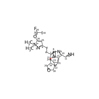 C[N+]1(C)N=C(CC/C2=C/N=C(C=N)\C(NC[C@H]3CCOC3)=C3/CC3C2)C=C1OC(F)I